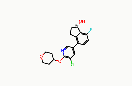 O[C@H]1CCc2c(-c3cnc(OC4CCOCC4)c(Cl)c3)ccc(F)c21